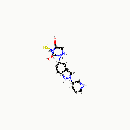 O=c1cnn(-c2ccc3nn(-c4cccnc4)cc3c2)c(=O)n1S